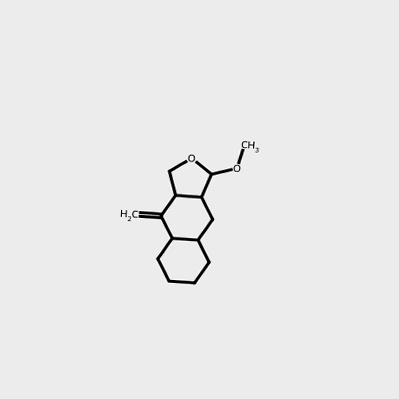 C=C1C2CCCCC2CC2C(OC)OCC12